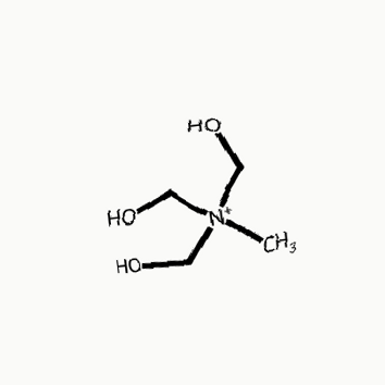 C[N+](CO)(CO)CO